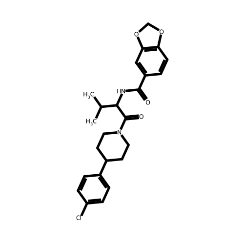 CC(C)C(NC(=O)c1ccc2c(c1)OCO2)C(=O)N1CCC(c2ccc(Cl)cc2)CC1